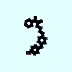 O=C(NC1CCCCC1)SCCCN1CCN(Cc2ccc(Cl)cc2)CC1